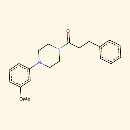 COc1cccc(N2CCN(C(=O)[CH]Cc3ccccc3)CC2)c1